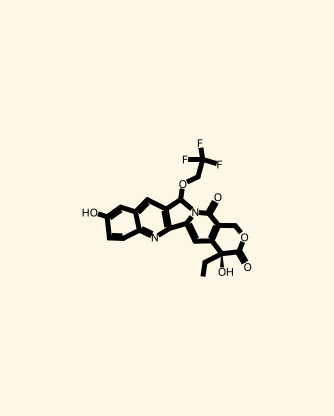 CC[C@@]1(O)C(=O)OCc2c1cc1n(c2=O)C(OCC(F)(F)F)c2cc3cc(O)ccc3nc2-1